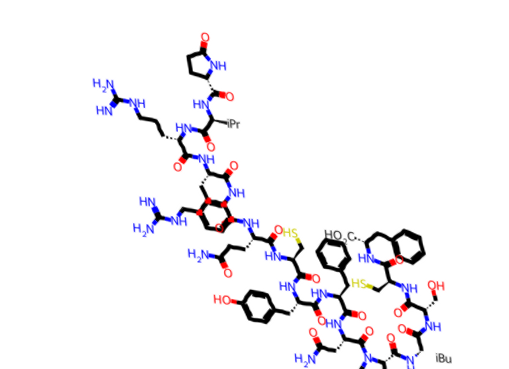 CC[C@H](C)[C@H](NC(=O)[C@@H]1CCCN1C(=O)[C@H](CC(N)=O)NC(=O)[C@H](Cc1ccccc1)NC(=O)[C@H](Cc1ccc(O)cc1)NC(=O)[C@H](CS)NC(=O)[C@H](CCC(N)=O)NC(=O)[C@H](CCCNC(=N)N)NC(=O)[C@H](Cc1ccccc1)NC(=O)[C@H](CCCNC(=N)N)NC(=O)[C@@H](NC(=O)[C@@H]1CCC(=O)N1)C(C)C)C(=O)N[C@@H](CO)C(=O)N[C@@H](CS)C(=O)N[C@@H](Cc1ccccc1)C(=O)O